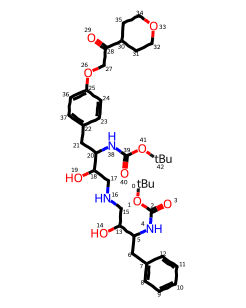 CC(C)(C)OC(=O)NC(Cc1ccccc1)C(O)CNCC(O)C(Cc1ccc(OCC(=O)C2CCOCC2)cc1)NC(=O)OC(C)(C)C